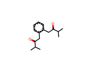 CC(C)C(=O)Cc1ccccc1CC(=O)C(C)C